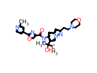 Cc1cc(-c2nc(C(=O)Nc3cc4cc(CCN5CCOCC5)nn4cc3C(C)(C)O)co2)ccn1